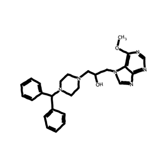 COc1ncnc2ncn(CC(O)CN3CCN(C(c4ccccc4)c4ccccc4)CC3)c12